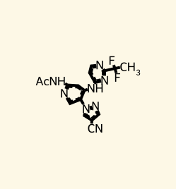 CC(=O)Nc1cc(Nc2ccnc(C(C)(F)F)n2)c(-n2cc(C#N)cn2)cn1